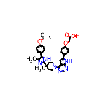 CCOc1ccc(-c2[nH]c(C3(C)CCN(c4ncnc5[nH]c(-c6ccc(OCC(=O)O)cc6)cc45)CC3)nc2C)cc1